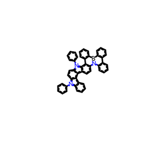 c1ccc(-n2c3ccccc3c3c4c5ccc6c(c5n(-c5ccccc5)c4ccc32)-c2ccccc2B2c3ccccc3-c3ccccc3N26)cc1